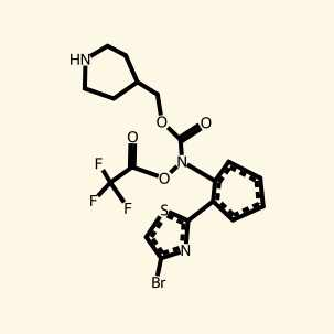 O=C(OCC1CCNCC1)N(OC(=O)C(F)(F)F)c1ccccc1-c1nc(Br)cs1